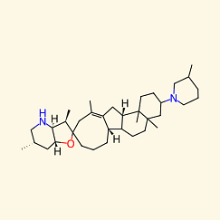 C/C1=C2\C[C@H]3C(CCC4(C)CC(N5CCCC(C)C5)CCC34C)[C@@H]2CCCC2(C1)O[C@@H]1C[C@H](C)CN[C@H]1[C@H]2C